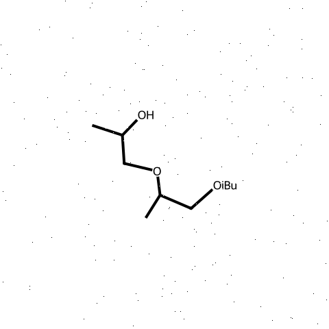 CC(C)COCC(C)OCC(C)O